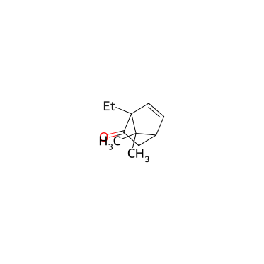 CCC12C=CC(CC1=O)C2(C)C